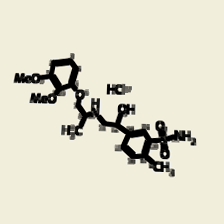 COc1cccc(OCC(C)NCC(O)c2ccc(C)c(S(N)(=O)=O)c2)c1OC.Cl